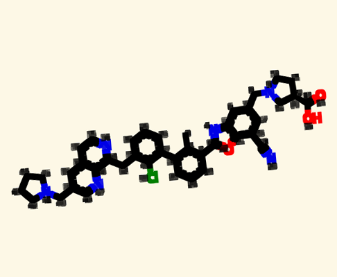 Cc1c(-c2nc3cc(CN4CC[C@@H](C(=O)O)C4)cc(C#N)c3o2)cccc1-c1cccc(Cc2nccc3cc(CN4CCCC4)cnc23)c1Cl